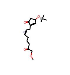 COCC(=O)CCC/C=C\CC1=CC(O[Si](C)(C)C)CC1=O